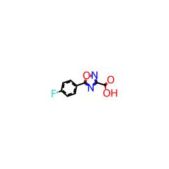 O=C(O)c1noc(-c2ccc(F)cc2)n1